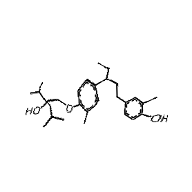 CCC(CCc1ccc(O)c(C)c1)c1ccc(OCC(O)(C(C)C)C(C)C)c(C)c1